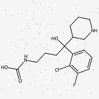 O=C(O)NCCCC(O)(c1cccc(F)c1Cl)C1CCCNC1